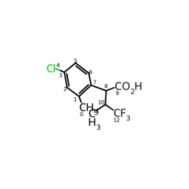 Cc1cc(Cl)ccc1C(C(=O)O)C(C)C(F)(F)F